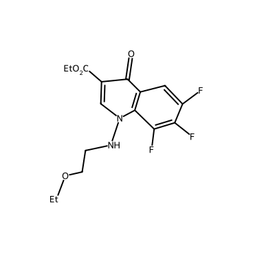 CCOCCNn1cc(C(=O)OCC)c(=O)c2cc(F)c(F)c(F)c21